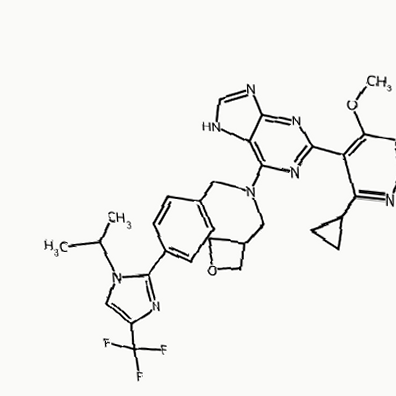 COc1ncnc(C2CC2)c1-c1nc(N(Cc2ccc(-c3nc(C(F)(F)F)cn3C(C)C)cc2)CC2COC2)c2[nH]cnc2n1